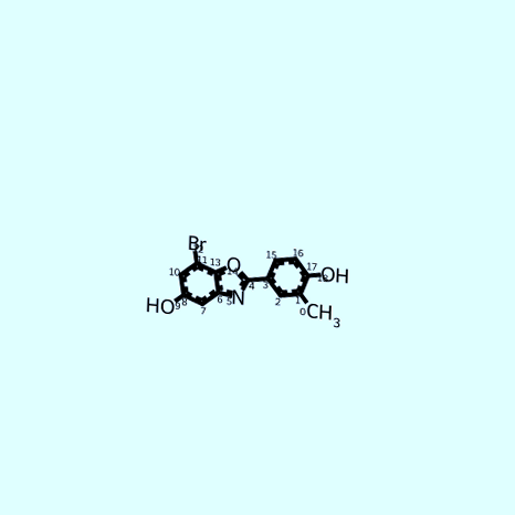 Cc1cc(-c2nc3cc(O)cc(Br)c3o2)ccc1O